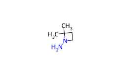 CC1(C)CCN1N